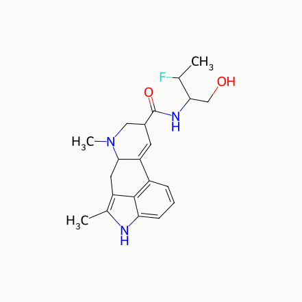 Cc1[nH]c2cccc3c2c1CC1C3=CC(C(=O)NC(CO)C(C)F)CN1C